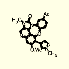 COc1cc2ncc3c4c2c(oc2ccc(C(C)=O)cc2n4c(=O)n3C)c1-c1cnn(C)c1